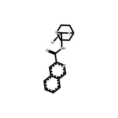 O=C(N[C@H]1CC2CCN1CC2)c1cc2ccccc2cn1